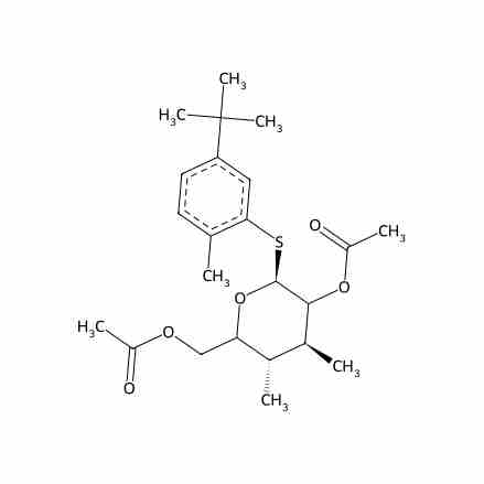 CC(=O)OCC1O[C@@H](Sc2cc(C(C)(C)C)ccc2C)C(OC(C)=O)[C@@H](C)[C@@H]1C